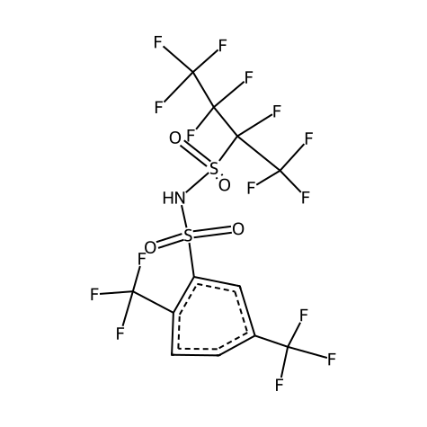 O=S(=O)(NS(=O)(=O)C(F)(C(F)(F)F)C(F)(F)C(F)(F)F)c1cc(C(F)(F)F)ccc1C(F)(F)F